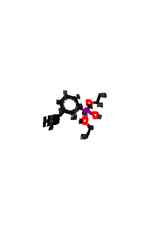 Bc1cccc(P(=O)(OCC)OCC)c1